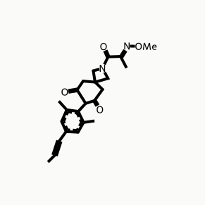 CC#Cc1cc(C)c(C2C(=O)CC3(CC2=O)CN(C(=O)/C(C)=N/OC)C3)c(C)c1